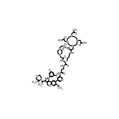 COc1cc2c(cc1-c1cncc(NC(=O)CCNC(=O)[C@@H](CCCCNC(=O)CN3CCN(CC(=O)O)CCN(CC(=O)O)CCN(CC(=O)O)CC3)NC(=O)CN3CCN(CCS(=O)(=O)O)CC3)c1)-c1c(c(C(=O)N3CCOCC3(C)C)nn1-c1cc(F)cc(F)c1)CO2